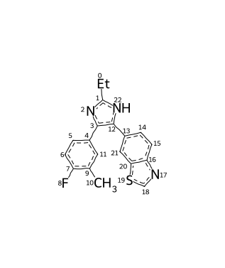 CCc1nc(-c2ccc(F)c(C)c2)c(-c2ccc3ncsc3c2)[nH]1